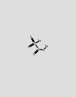 [3H]SS(=S)S([3H])(=S)=S